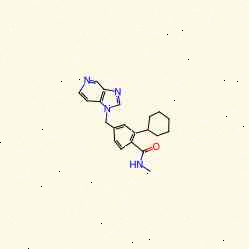 CNC(=O)c1ccc(Cn2cnc3cnccc32)cc1C1CCCCC1